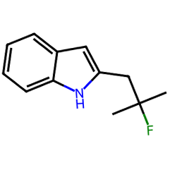 CC(C)(F)Cc1cc2ccccc2[nH]1